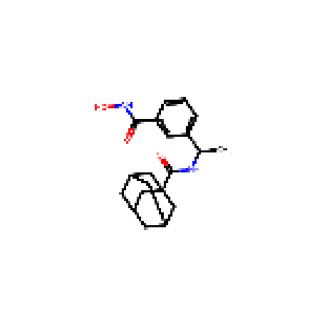 C[C@@H](NC(=O)C12CC3CC(CC(C3)C1)C2)c1cccc(C(=O)NO)c1